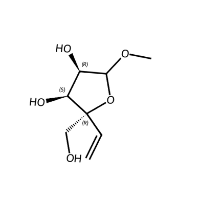 C=C[C@]1(CO)OC(OC)[C@H](O)[C@@H]1O